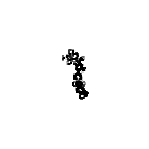 O=C1CCC(N2Cc3cc(C4CCN(S(=O)(=O)c5ccc6occc6c5)CC4)c(F)cc3C2=O)C(=O)N1